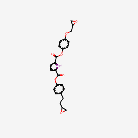 O=C(Oc1ccc(CCC2CO2)cc1)c1ccc(C(=O)Oc2ccc(OCC3CO3)cc2)[pH]1